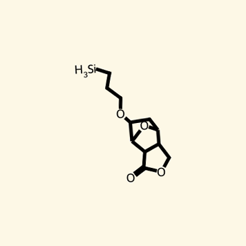 O=C1OCC2C3CC(OCCC[SiH3])C(O3)C12